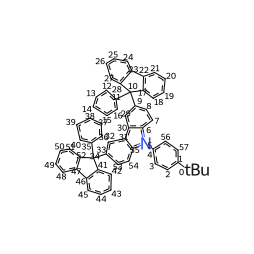 CC(C)(C)c1ccc(-n2c3ccc(C4(c5ccccc5)c5ccccc5-c5ccccc54)cc3c3cc(C4(c5ccccc5)c5ccccc5-c5ccccc54)ccc32)cc1